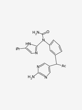 CC(=O)C(c1cnc(N)nc1)c1cccc(N(C(N)=O)c2ncc(C(C)C)[nH]2)c1